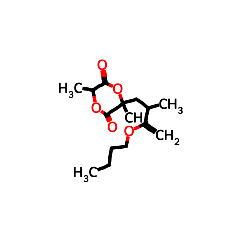 C=C(OCCCC)C(C)CC1(C)OC(=O)C(C)OC1=O